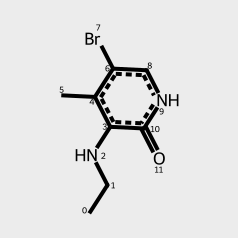 CCNc1c(C)c(Br)c[nH]c1=O